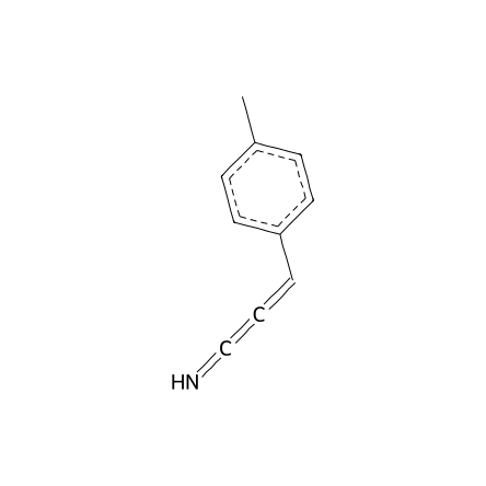 Cc1ccc(C=C=C=N)cc1